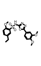 CCc1ccc(OC)c(S(=O)(=O)Nc2nnc(-c3ccc(OC)c(OC)c3)o2)c1